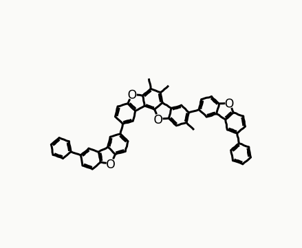 Cc1cc2oc3c(c(C)c(C)c4oc5ccc(-c6ccc7oc8ccc(-c9ccccc9)cc8c7c6)cc5c43)c2cc1-c1ccc2oc3ccc(-c4ccccc4)cc3c2c1